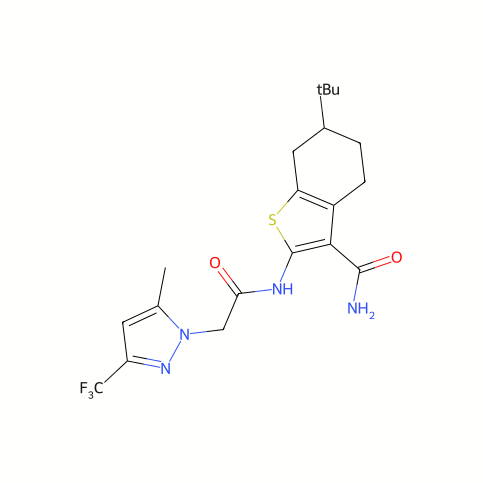 Cc1cc(C(F)(F)F)nn1CC(=O)Nc1sc2c(c1C(N)=O)CCC(C(C)(C)C)C2